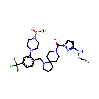 CSNc1ccn(C(=O)N2CCC3(CCCN3Cc3ccc(C(F)(F)F)cc3N3CCN([S+](C)[O-])CC3)CC2)n1